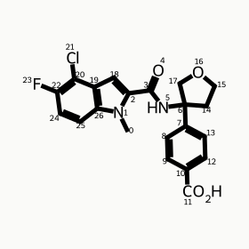 Cn1c(C(=O)NC2(c3ccc(C(=O)O)cc3)CCOC2)cc2c(Cl)c(F)ccc21